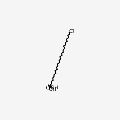 O=P(O)(O)OCCCCCCCCCCCCCCCCCCCCCCCCCCCCCCCl